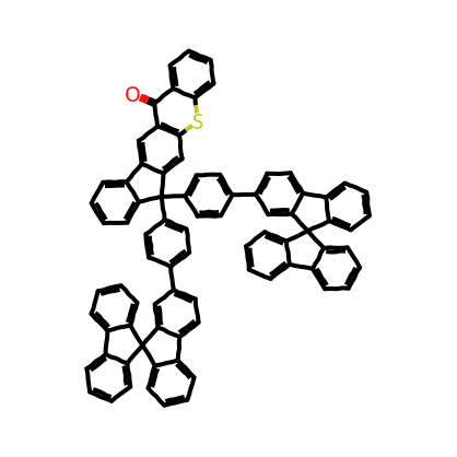 O=c1c2ccccc2sc2cc3c(cc12)-c1ccccc1C3(c1ccc(-c2ccc3c(c2)C2(c4ccccc4-c4ccccc42)c2ccccc2-3)cc1)c1ccc(-c2ccc3c(c2)C2(c4ccccc4-c4ccccc42)c2ccccc2-3)cc1